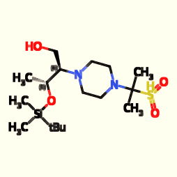 C[C@@H](O[Si](C)(C)C(C)(C)C)[C@@H](CO)N1CCN(C(C)(C)[SH](=O)=O)CC1